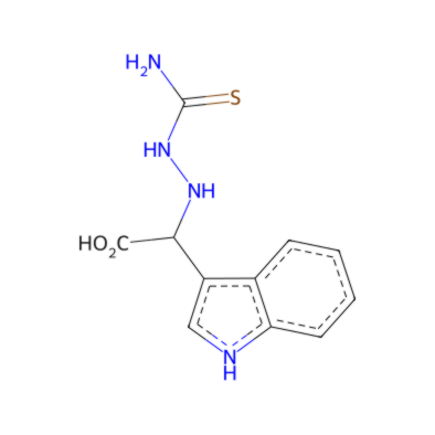 NC(=S)NNC(C(=O)O)c1c[nH]c2ccccc12